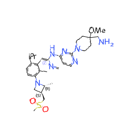 C=N/C(=C\c1c(C(C)C)ccc(N2C[C@H](CS(C)(=O)=O)[C@H]2C)c1C)Nc1ccnc(N2CCC(CN)(OC)CC2)n1